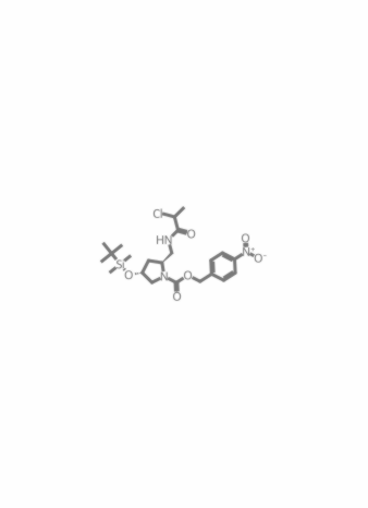 CC(Cl)C(=O)NC[C@@H]1C[C@@H](O[Si](C)(C)C(C)(C)C)CN1C(=O)OCc1ccc([N+](=O)[O-])cc1